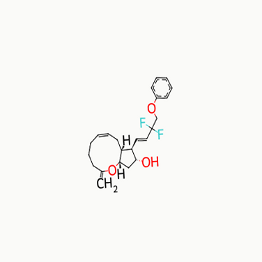 C=C1CCC/C=C\C[C@@H]2[C@@H](/C=C/C(F)(F)COc3ccccc3)[C@H](O)C[C@@H]2O1